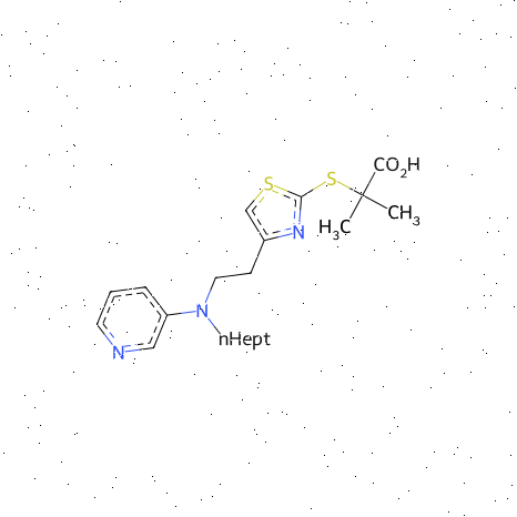 CCCCCCCN(CCc1csc(SC(C)(C)C(=O)O)n1)c1cccnc1